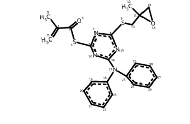 C=C(C)C(=O)Sc1nc(SCC2(C)CO2)nc(N(c2ccccc2)c2ccccc2)n1